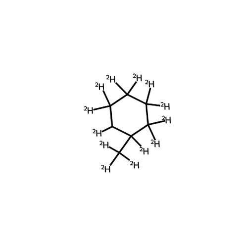 [2H]C1C([2H])([2H])C([2H])([2H])C([2H])([2H])C([2H])([2H])C1([2H])C([2H])([2H])[2H]